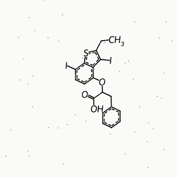 CCc1sc2c(I)ccc(OC(Cc3ccccc3)C(=O)O)c2c1I